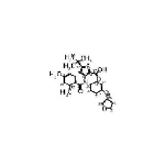 CC1=CCC(C(=O)N(c2cc(C(C)(C)C)sc2C(=O)O)[C@H]2CC[C@H](O[C@@H]3CCOC3)CC2)[C@@H](C)C1